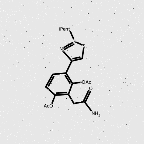 CCCC(C)S1=NC(c2ccc(OC(C)=O)c(CC(N)=O)c2OC(C)=O)=CS1